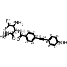 NC(C(F)F)[C@H](NC(=O)c1ccc(C#Cc2ccc(O)cc2)cc1)C(=O)NO